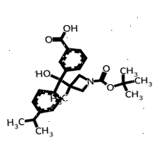 CC(C)c1ccc(C(O)(c2cccc(C(=O)O)c2)C2(C)CN(C(=O)OC(C)(C)C)C2)cc1